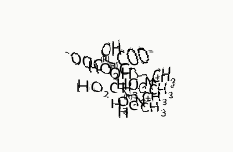 C[N+](C)(C)CC(O)CC(=O)O.C[N+](C)(C)C[C@H](O)CC(=O)O.O=C([O-])[C@H](O)[C@@H](O)C(=O)[O-]